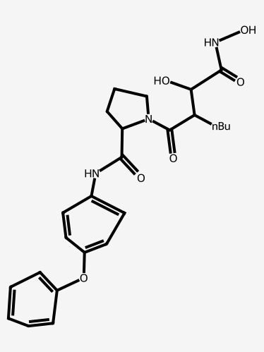 CCCCC(C(=O)N1CCCC1C(=O)Nc1ccc(Oc2ccccc2)cc1)C(O)C(=O)NO